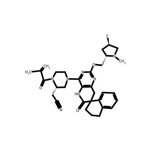 C=C(C)C(=O)N1CCN(c2nc(OC[C@@H]3C[C@@H](F)CN3C)nc3c2NC(=O)C2(CCCc4ccccc42)C3)C[C@@H]1CC#N